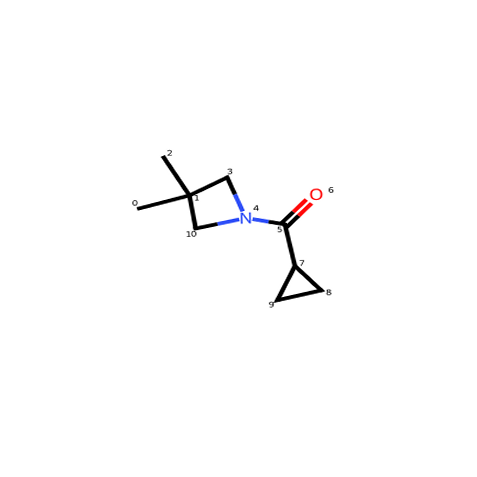 CC1(C)CN(C(=O)C2CC2)C1